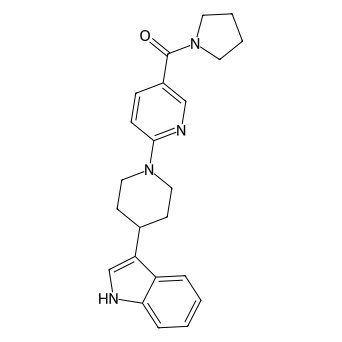 O=C(c1ccc(N2CCC(c3c[nH]c4ccccc34)CC2)nc1)N1CCCC1